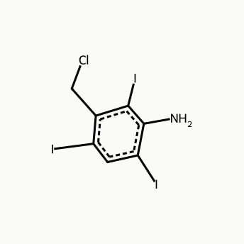 Nc1c(I)cc(I)c(CCl)c1I